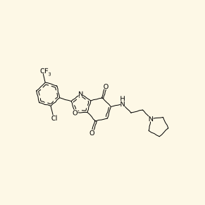 O=C1C(NCCN2CCCC2)=CC(=O)c2oc(-c3cc(C(F)(F)F)ccc3Cl)nc21